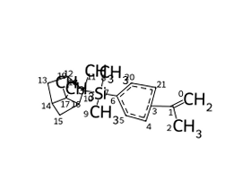 C=C(C)c1ccc([Si](C)(C)C2(C)CCC3CC2C3(C)C)cc1